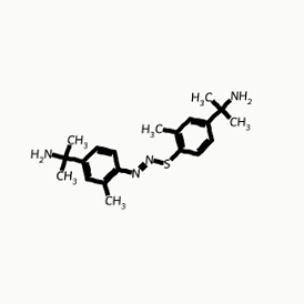 Cc1cc(C(C)(C)N)ccc1/N=N/Sc1ccc(C(C)(C)N)cc1C